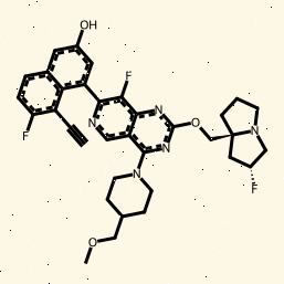 C#Cc1c(F)ccc2cc(O)cc(-c3ncc4c(N5CCC(COC)CC5)nc(OC[C@@]56CCCN5C[C@H](F)C6)nc4c3F)c12